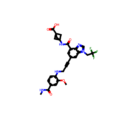 CNC(=O)c1ccc(NCC#Cc2cc(C(=O)NC34CC(C(=O)O)(C3)C4)c3ncn(CC(F)(F)F)c3c2)c(OC)c1